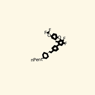 CCCCC[C@H]1CC[C@H](CCc2ccc(-c3cc(F)c(F)c(Oc4ccc(OC(F)F)cc4)c3C)cc2)CC1